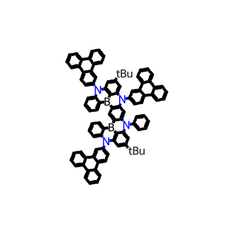 CC(C)(C)c1cc2c3c(c1)N(c1ccccc1)c1cc4c(cc1B3c1ccccc1N2c1ccc2c3ccccc3c3ccccc3c2c1)B1c2ccccc2N(c2ccc3c5ccccc5c5ccccc5c3c2)c2cc(C(C)(C)C)cc(c21)N4c1ccc2c3ccccc3c3ccccc3c2c1